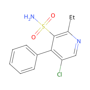 CCc1ncc(Cl)c(-c2ccccc2)c1S(N)(=O)=O